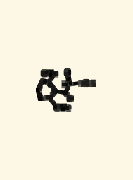 CCCCCCCC[PH](=O)C(=O)c1c(OC)cccc1OC